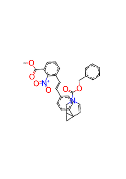 COC(=O)c1cccc(/C=C/c2ccc(C34C=CN(C(=O)OCc5ccccc5)CC3C4)cc2)c1[N+](=O)[O-]